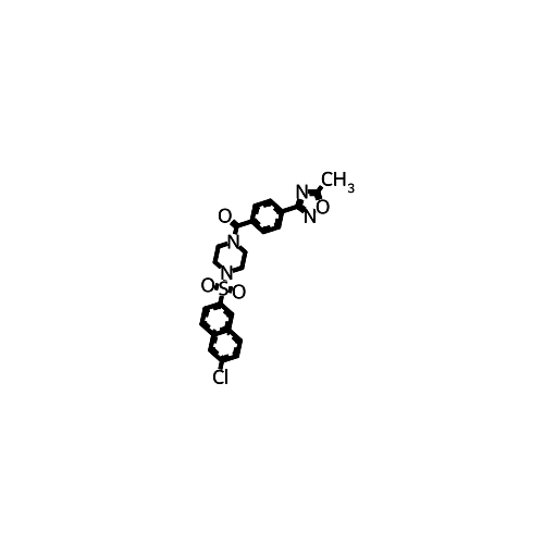 Cc1nc(-c2ccc(C(=O)N3CCN(S(=O)(=O)c4ccc5cc(Cl)ccc5c4)CC3)cc2)no1